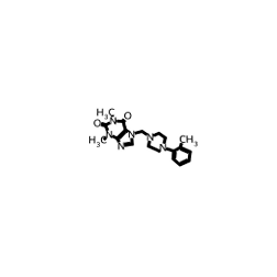 Cc1ccccc1N1CCN(Cn2cnc3c2c(=O)n(C)c(=O)n3C)CC1